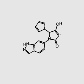 O=C1[C]=C(O)C(C2C=CC=C2)N1c1ccc2cn[nH]c2c1